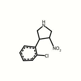 O=[N+]([O-])C1CNCC1c1ccccc1Cl